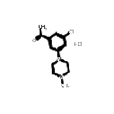 CC(=O)c1cc(Cl)cc(N2CCN(C)CC2)c1.Cl